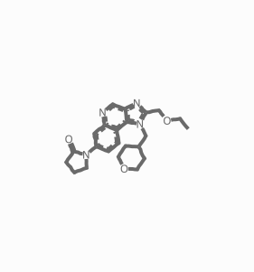 CCOCc1nc2cnc3cc(N4CCCC4=O)ccc3c2n1CC1CCOCC1